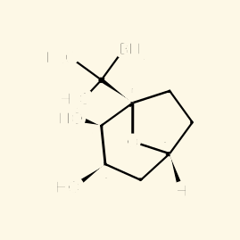 BC(C)(C)[C@]12CC[C@H](C[C@@H](O)[C@H]1O)O2